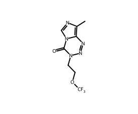 Cc1ncn2c(=O)n(CCOC(F)(F)F)nnc12